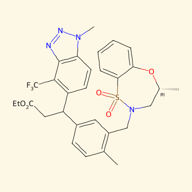 CCOC(=O)CC(c1ccc(C)c(CN2C[C@@H](C)Oc3ccccc3S2(=O)=O)c1)c1ccc2c(nnn2C)c1C(F)(F)F